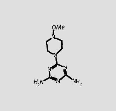 CON1CCN(c2nc(N)nc(N)n2)CC1